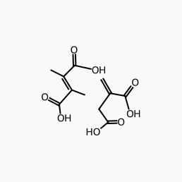 C=C(CC(=O)O)C(=O)O.CC(C(=O)O)=C(C)C(=O)O